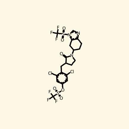 O=C1C(Cc2c(Cl)cc(OS(=O)(=O)C(F)(F)F)cc2Cl)CCN1C1CCc2ncn(S(=O)(=O)C(F)(F)F)c2C1